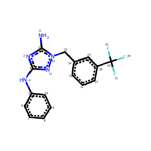 Nc1nc(Nc2ccccc2)nn1Cc1cccc(C(F)(F)F)c1